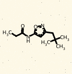 CCC(=O)Nc1cc(CC(C)(C)C)no1